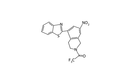 O=C(N1CCc2c(cc([N+](=O)[O-])cc2-c2nc3ccccc3s2)C1)C(F)(F)F